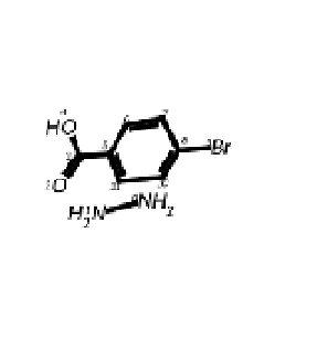 NN.O=C(O)c1ccc(Br)cc1